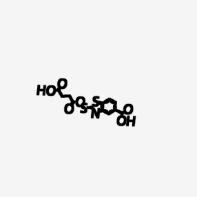 O=C(O)CCC(=O)OSc1nc2cc(C(=O)O)ccc2s1